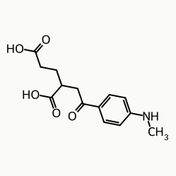 CNc1ccc(C(=O)CC(CCC(=O)O)C(=O)O)cc1